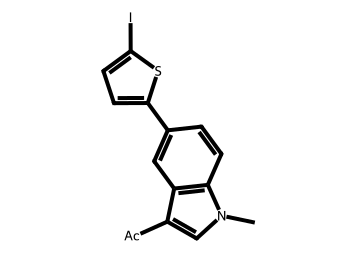 CC(=O)c1cn(C)c2ccc(-c3ccc(I)s3)cc12